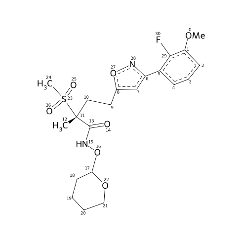 COc1cccc(-c2cc(CC[C@](C)(C(=O)NOC3CCCCO3)S(C)(=O)=O)on2)c1F